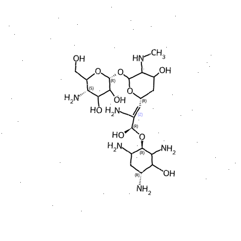 CNC1C(O)C[C@H](/C=C(\N)[C@H](O)O[C@@H]2C(N)C[C@@H](N)C(O)C2N)OC1O[C@H]1OC(CO)[C@@H](N)C(O)C1O